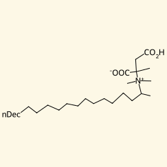 CCCCCCCCCCCCCCCCCCCCCCC(C)[N+](C)(C)C(C)(CC(=O)O)C(=O)[O-]